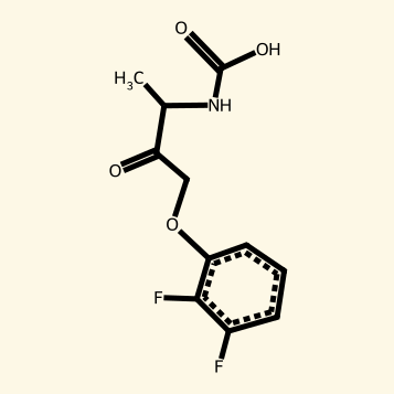 CC(NC(=O)O)C(=O)COc1cccc(F)c1F